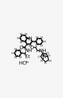 CCC(NC(=O)c1c(OCCNC2CC3CCC(C2)N3C)c(-c2ccccc2)nc2ccccc12)c1ccccc1.Cl